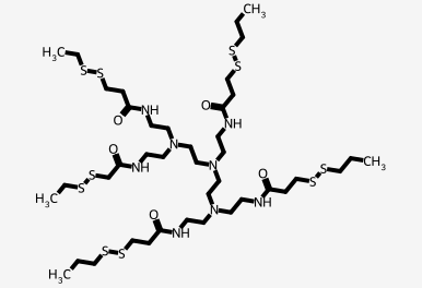 CCCSSCCC(=O)NCCN(CCNC(=O)CCSSCCC)CCN(CCNC(=O)CCSSCCC)CCN(CCNC(=O)CCSSCC)CCNC(=O)CSSCC